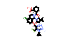 C[C@]1(C(=O)O)CCCCC1C(=O)N1CCc2c(Cl)ccc(OC/C(N)=C(\C(F)F)N(N)C3CC3)c2C1N1CC2(CC2)CC1=O